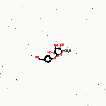 O=C(O)[C@H]1O[C@@H](Oc2ccc(CO)cc2)[C@H](O)[C@@H](O)[C@@H]1O